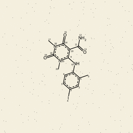 Cc1cc(I)ccc1Nc1c(C(N)=O)c(=O)n(C)c(=O)n1C